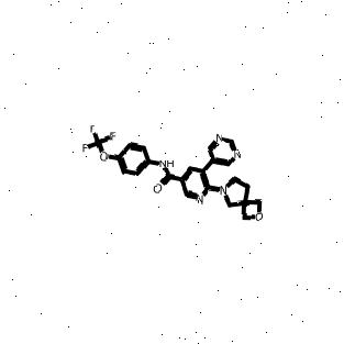 O=C(Nc1ccc(OC(F)(F)F)cc1)c1cnc(N2CCC3(COC3)C2)c(-c2cncnc2)c1